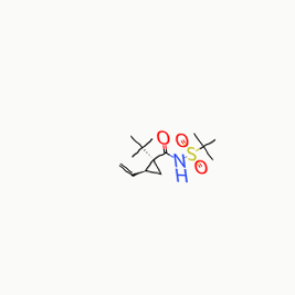 C=C[C@@H]1C[C@@]1(C(=O)NS(=O)(=O)C(C)(C)C)C(C)(C)C